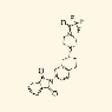 O=C1c2ccccc2C(=O)N1c1ccc2c(c1)CC(N1CCN(C(=O)C(F)(F)F)CC1)CC2